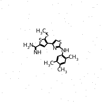 CSc1sc(C(=N)N)cc1-c1csc(Nc2cc(C)c(C)cc2C)n1